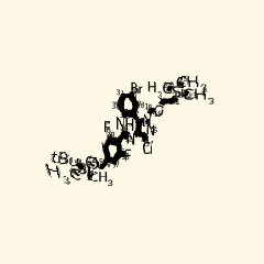 CC(C)(C)[Si](C)(C)OCc1cc(F)c(C2=Nc3c(Cl)nn(COCC[Si](C)(C)C)c3-c3cc(Br)ccc3N2)c(F)c1